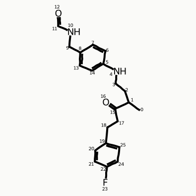 CC(CCNc1ccc(CNC=O)cc1)C(=O)CCc1ccc(F)cc1